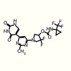 Cc1nc(-c2c[nH]c(=O)[nH]c2=O)cc(N2CC(OC(=O)NC3(C(F)(F)F)CC3)C(F)(F)C2)n1